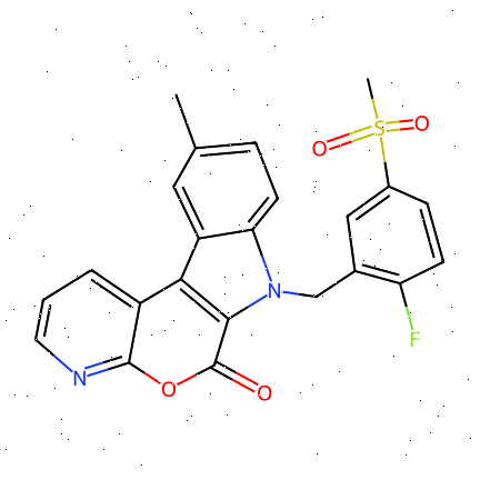 Cc1ccc2c(c1)c1c3cccnc3oc(=O)c1n2Cc1cc(S(C)(=O)=O)ccc1F